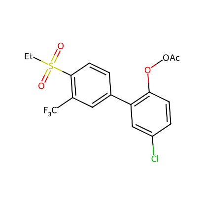 CCS(=O)(=O)c1ccc(-c2cc(Cl)ccc2OOC(C)=O)cc1C(F)(F)F